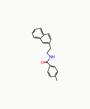 Cc1ccc(C(=O)NCCc2ccc3ccccc3c2)cc1